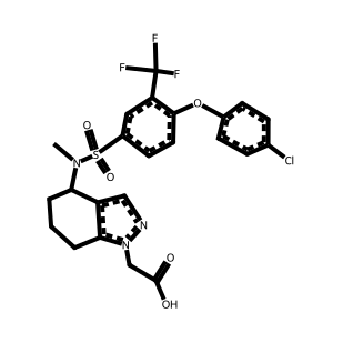 CN(C1CCCc2c1cnn2CC(=O)O)S(=O)(=O)c1ccc(Oc2ccc(Cl)cc2)c(C(F)(F)F)c1